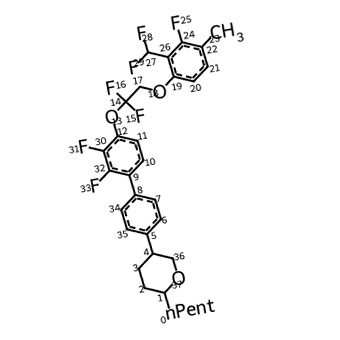 CCCCCC1CCC(c2ccc(-c3ccc(OC(F)(F)COc4ccc(C)c(F)c4C(F)F)c(F)c3F)cc2)CO1